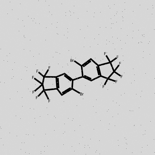 FC1(F)c2cc(Br)c(-c3cc4c(cc3Br)C(F)(F)C(F)(F)C4(F)F)cc2C(F)(F)C1(F)F